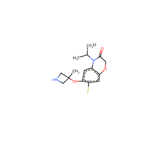 CCOC(=O)C(C)N1C(=O)COc2cc(F)c(OC3(C)CNC3)cc21